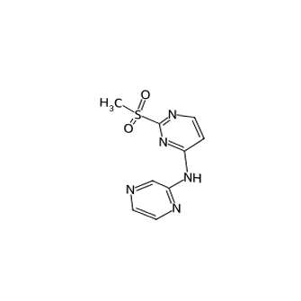 CS(=O)(=O)c1nccc(Nc2cnccn2)n1